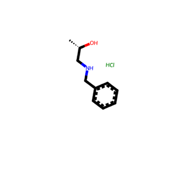 C[C@H](O)CNCc1ccccc1.Cl